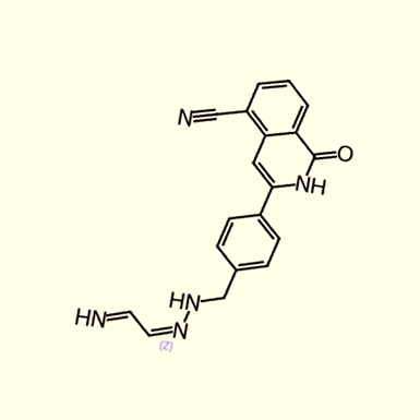 N#Cc1cccc2c(=O)[nH]c(-c3ccc(CN/N=C\C=N)cc3)cc12